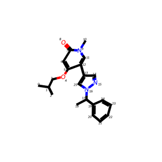 CC(C)COc1cc(=O)n(C)cc1-c1cnn(C(C)c2ccccc2)c1